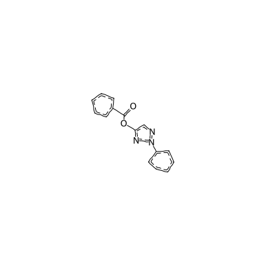 O=C(Oc1cnn(-c2ccccc2)n1)c1ccccc1